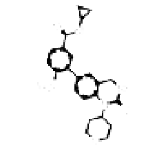 Cc1ccc(C(=O)NC2CC2)cc1-c1ccc2c(c1)CNC(=O)N2C1CCOCC1